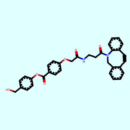 O=C(COc1ccc(C(=O)Oc2ccc(CO)cc2)cc1)NCCC(=O)N1Cc2ccccc2C#Cc2ccccc21